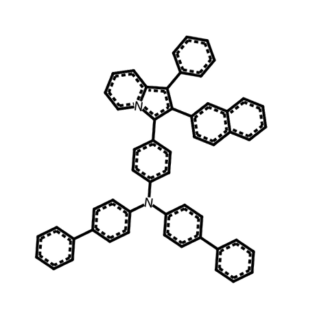 c1ccc(-c2ccc(N(c3ccc(-c4ccccc4)cc3)c3ccc(-c4c(-c5ccc6ccccc6c5)c(-c5ccccc5)c5ccccn45)cc3)cc2)cc1